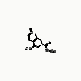 C=N/C=C\C1=C(C)CN(C(=O)OC(C)(C)C)CC1OC(C)=O